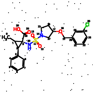 CC1[C@H](c2ccccc2)[C@]1(NS(=O)(=O)N1CCC(OCc2cccc(Cl)c2)C1)C(=O)O